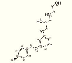 OCCNCC(O)COc1cccc(OCc2ccc(F)cc2)c1